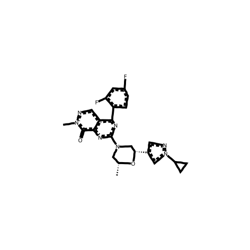 C[C@@H]1CN(c2nc(-c3ccc(F)cc3F)c3cnn(C)c(=O)c3n2)C[C@H](c2cnn(C3CC3)c2)O1